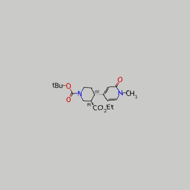 CCOC(=O)[C@H]1CN(C(=O)OC(C)(C)C)CC[C@@H]1c1ccn(C)c(=O)c1